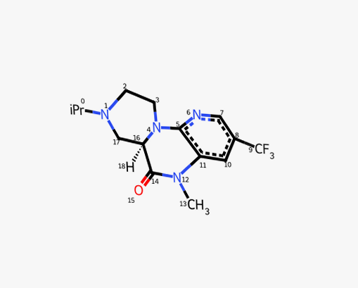 CC(C)N1CCN2c3ncc(C(F)(F)F)cc3N(C)C(=O)[C@H]2C1